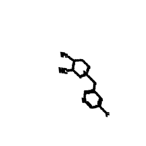 CC(C)C1CCN(Cc2cncc(F)c2)CC1C#N